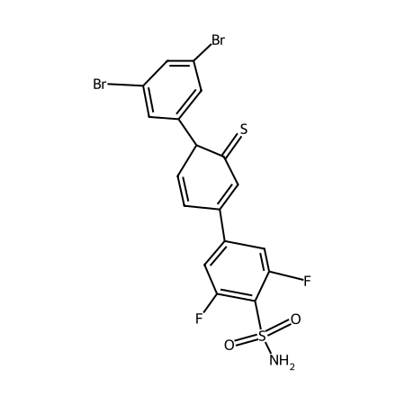 NS(=O)(=O)c1c(F)cc(C2=CC(=S)C(c3cc(Br)cc(Br)c3)C=C2)cc1F